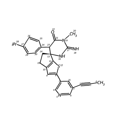 CC#Cc1cncc(-c2cc3c(s2)[C@@]2(CC3)NC(=N)N(C)C(=O)C2c2ccc(C(C)C)cc2)c1